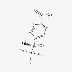 N=S(=O)(c1ccc(C(=O)O)cc1)C(F)(F)F